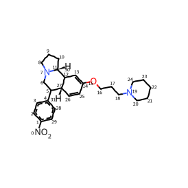 O=[N+]([O-])c1ccc(C2CN3CCC[C@@H]3C3C=C(OCCCN4CCCCC4)C=C[C@H]23)cc1